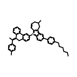 CCCCCCc1ccc(-c2ccc3c(c2)c2c(n3-c3ccc4c(c3)-c3ccccc3/C(=C(\C)c3ccc(C)cc3)C4)C=CCC(C)C2)cc1